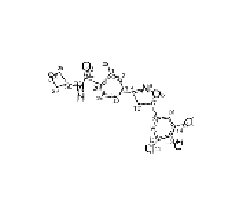 Cc1cc(C2=NOC(c3cc(Cl)c(Cl)c(Cl)c3)C2)ccc1C(=O)NC1CSC1